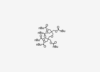 CCCCC(=O)OCC(COCC(COC(=O)CCCC)(COC(=O)CCCC)COC(=O)CCCC)(COC(=O)CCCC)COC(=O)CCCC